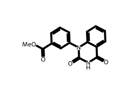 COC(=O)c1cccc(-n2c(=O)[nH]c(=O)c3ccccc32)c1